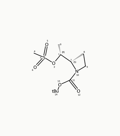 C[C@@H](OS(C)(=O)=O)[C@@H]1CCN1C(=O)OC(C)(C)C